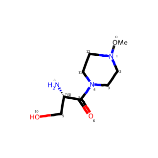 CON1CCN(C(=O)[C@@H](N)CO)CC1